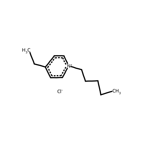 CCCCC[n+]1ccc(CC)cc1.[Cl-]